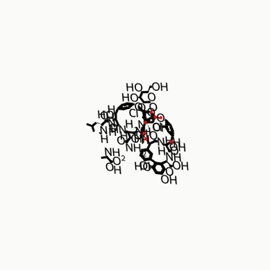 CC(N)C(=O)O.CN[C@H](CC(C)C)C(=O)N[C@H]1C(=O)N[C@@H](CC(N)=O)C(=O)N[C@H]2C(=O)N[C@H]3C(=O)N[C@H](C(=O)N[C@@H](C(=O)O)c4cc(O)cc(O)c4-c4cc3ccc4O)[C@H](O)c3ccc(c(Cl)c3)Oc3cc2cc(c3O[C@@H]2O[C@H](CO)[C@@H](O)[C@H](O)[C@H]2O[C@H]2C[C@](C)(N)C(O)[C@H](C)O2)Oc2ccc(cc2Cl)[C@H]1O